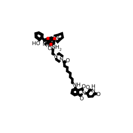 Nc1nnc(-c2ccccc2O)cc1N1CC2CCC(C1)N2c1cccc(OCCN2CCN(C(=O)CCCCCCCNc3cccc4c3C(=O)N(C3CCC(=O)NC3=O)C4=O)CC2)c1